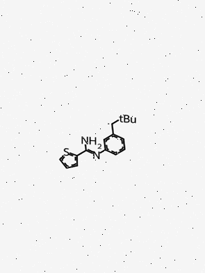 CC(C)(C)[CH]c1cccc(N=C(N)c2cccs2)c1